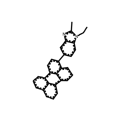 CCn1c(C)nc2cc(-c3ccc4c5cccc6cccc(c7cccc3c74)c65)ccc21